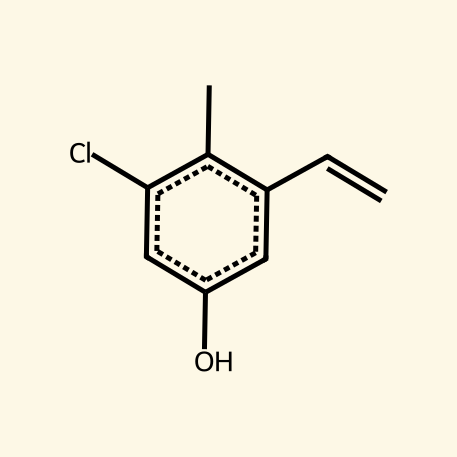 C=Cc1cc(O)cc(Cl)c1C